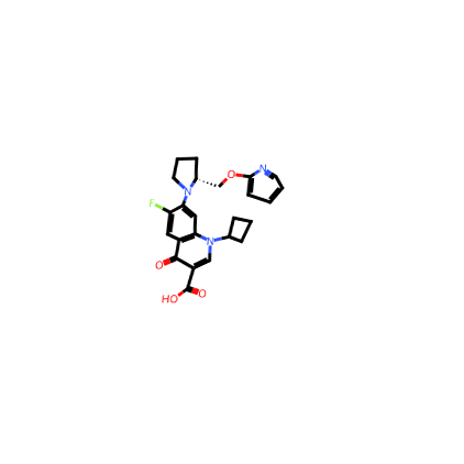 O=C(O)c1cn(C2CCC2)c2cc(N3CCC[C@@H]3COc3ccccn3)c(F)cc2c1=O